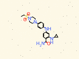 CCS(=O)(=O)N1CCN(c2ccc(Nc3ccc(C(N)=O)c(NC4CC4)c3)cc2)CC1